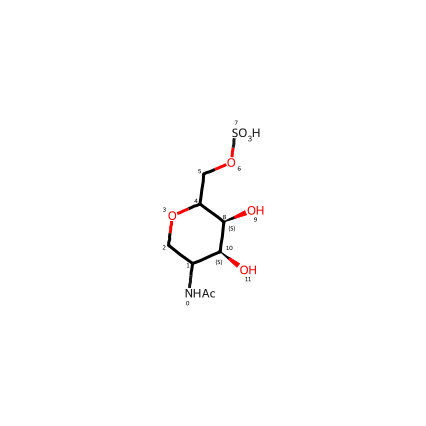 CC(=O)NC1COC(COS(=O)(=O)O)[C@@H](O)[C@H]1O